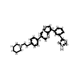 c1cc(-c2nn[nH]n2)cc(-c2cnn3cc(-c4ccc(CCN5CCCCC5)cc4)cnc23)c1